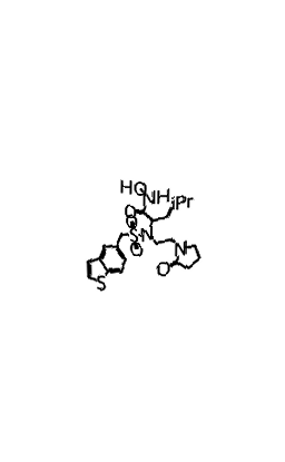 CC(C)CC(C(=O)NO)N(CCN1CCCC1=O)S(=O)(=O)Cc1ccc2sccc2c1